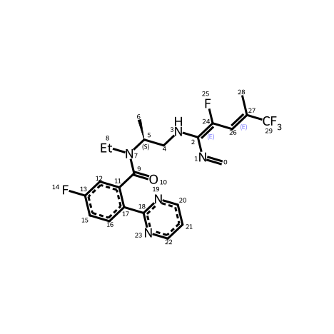 C=N/C(NC[C@H](C)N(CC)C(=O)c1cc(F)ccc1-c1ncccn1)=C(F)\C=C(/C)C(F)(F)F